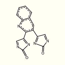 O=C1N=CC(c2cc3ccccc3nc2C2=NC(=O)N=C2)=N1